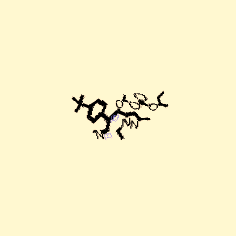 CCC(C)OC(=O)OC(C)O/C(=C(/C=N\C)c1ccc(C(C)(C)C)cc1)c1cc(C)nn1CC